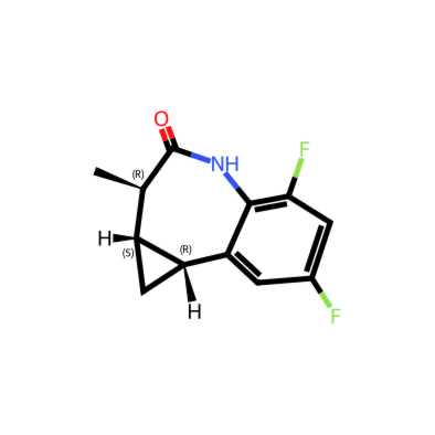 C[C@H]1C(=O)Nc2c(F)cc(F)cc2[C@@H]2C[C@H]12